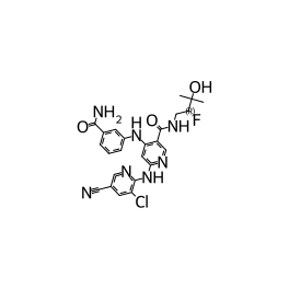 CC(C)(O)[C@H](F)CNC(=O)c1cnc(Nc2ncc(C#N)cc2Cl)cc1Nc1cccc(C(N)=O)c1